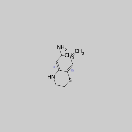 C=C/C=C1/SCCN/C1=C/C(C)N